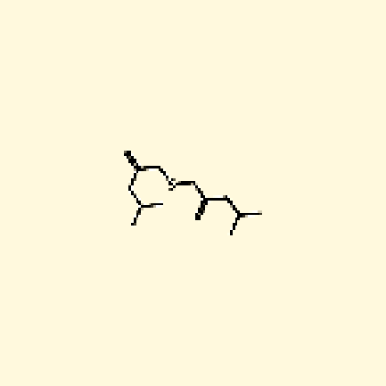 C=C(CSCC(=C)CC(C)C)CC(C)C